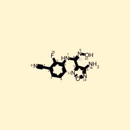 N#Cc1cccc(N/C(=N/O)c2nonc2N)c1F